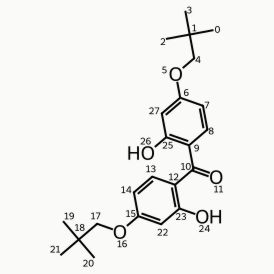 CC(C)(C)COc1ccc(C(=O)c2ccc(OCC(C)(C)C)cc2O)c(O)c1